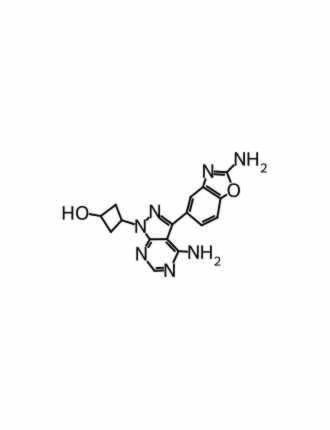 Nc1nc2cc(-c3nn(C4CC(O)C4)c4ncnc(N)c34)ccc2o1